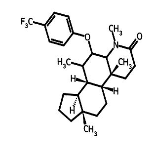 CC1C(Oc2ccc(C(F)(F)F)cc2)C2N(C)C(=O)CC[C@]2(C)[C@@H]2CC[C@]3(C)CCC[C@H]3[C@H]12